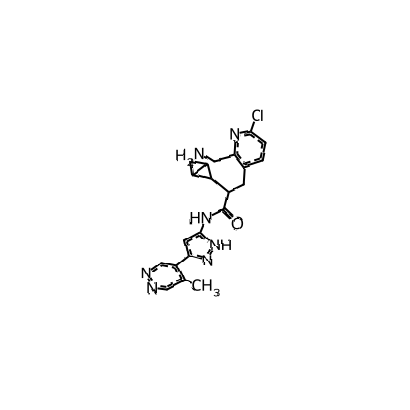 Cc1cnncc1-c1cc(NC(=O)C(Cc2ccc(Cl)nc2CN)C2C3CC32)[nH]n1